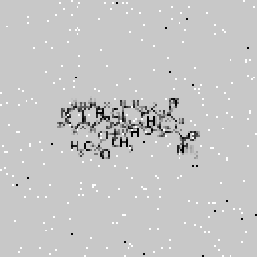 CC(=O)OC1(C)C[C@H]2[C@@H]3OC4=C(C=C3CC[C@]2(C)[C@H]1c1ccc2cnccc2c1)C(=O)CC(C(N)=O)C4